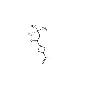 CC(C)(C)OC(=O)N1CC(C(=O)F)C1